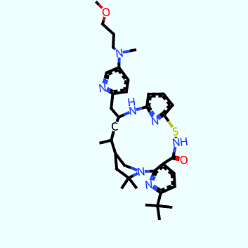 COCCCN(C)c1ccc(CC2CC(C)C3CN(c4nc(C(C)(C)C)ccc4C(=O)NSc4cccc(n4)N2)C(C)(C)C3)nc1